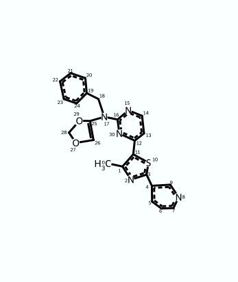 Cc1nc(-c2cccnc2)sc1-c1ccnc(N(Cc2ccccc2)C2=COCO2)n1